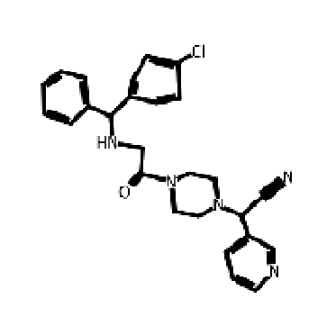 N#CC(c1cccnc1)N1CCN(C(=O)CNC(c2ccccc2)c2ccc(Cl)cc2)CC1